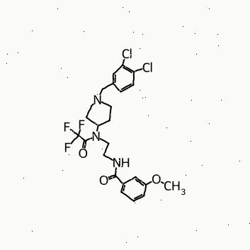 COc1cccc(C(=O)NCCN(C(=O)C(F)(F)F)C2CCN(Cc3ccc(Cl)c(Cl)c3)CC2)c1